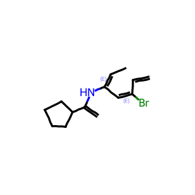 C=C/C(Br)=C\C(=C/C)NC(=C)C1CCCC1